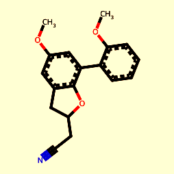 COc1cc2c(c(-c3ccccc3OC)c1)OC(CC#N)C2